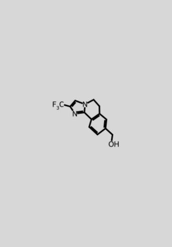 OCc1ccc2c(c1)CCn1cc(C(F)(F)F)nc1-2